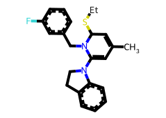 CCSC1C=C(C)C=C(N2CCc3ccccc32)N1Cc1cccc(F)c1